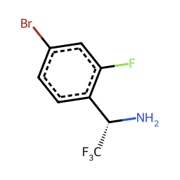 N[C@@H](c1ccc(Br)cc1F)C(F)(F)F